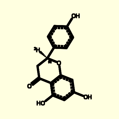 [2H][C@@]1(c2ccc(O)cc2)CC(=O)c2c(O)cc(O)cc2O1